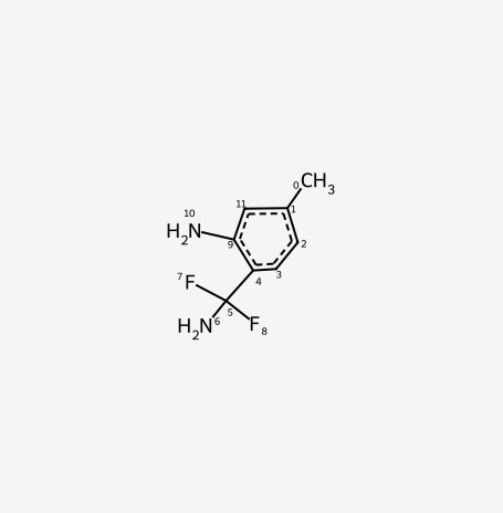 Cc1ccc(C(N)(F)F)c(N)c1